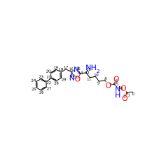 CC(=O)ONC(=O)OCCCCC(N)c1nc(Cc2ccc(-c3ccccc3)cc2)no1